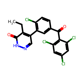 CCc1c(-c2cc(C(=O)c3c(Cl)cc(Cl)cc3Cl)ccc2Cl)cn[nH]c1=O